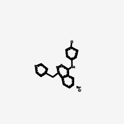 Clc1ccc(Nc2nnc(Cc3ccncc3)c3ccccc23)cc1.[Cl-].[Na+]